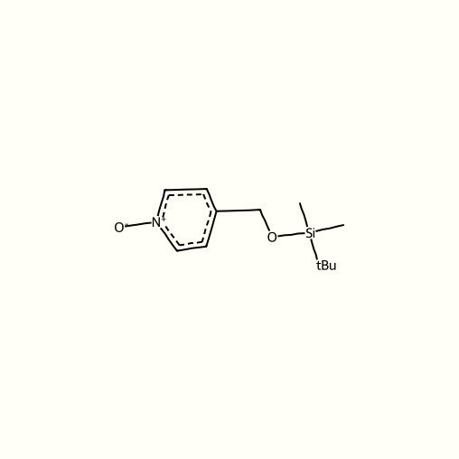 CC(C)(C)[Si](C)(C)OCc1cc[n+]([O-])cc1